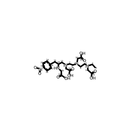 CCN(CCN(CCN(CC(=O)O)CC(Cc1ccc([N+](=O)[O-])cc1)NCC(=O)O)CC(=O)O)CC(=O)O